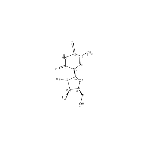 Cc1cn([C@H]2O[C@@H](CO)[C@@H](O)C2F)c(=O)[nH]c1=O